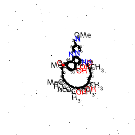 CO/N=C/c1ccn2c(c1)nc1c3c4c(O)c(c12)NC(=O)/C(C)=C\C=C\[C@H](C)[C@H](O)[C@@H](C)[C@@H](O)[C@@H](C)[C@H](OC(C)=O)[C@H](C)[C@@H](OC)/C=C/CC(=O)C=3C(OC)C#CC=4O